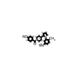 Cc1ccc(C(C)(C)C)cc1-n1cccc1C1CCN(C(=O)c2ccc(C#N)cc2)CC1